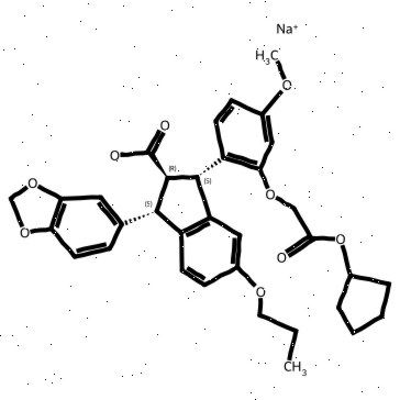 CCCOc1ccc2c(c1)[C@@H](c1ccc(OC)cc1OCC(=O)OC1CCCC1)[C@H](C(=O)[O-])[C@H]2c1ccc2c(c1)OCO2.[Na+]